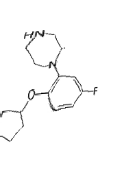 Fc1ccc(OC2CCCC2)c(N2[CH]CNCC2)c1